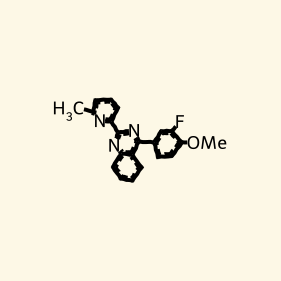 COc1ccc(-c2nc(-c3cccc(C)n3)nc3ccccc23)cc1F